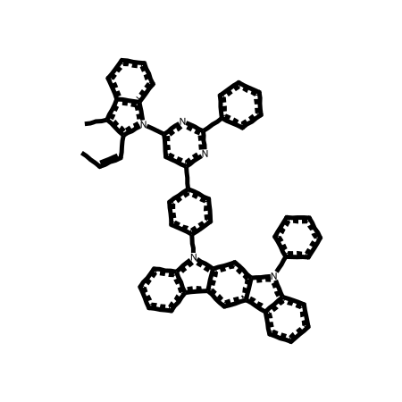 C/C=C\c1c(C)c2ccccc2n1-c1cc(-c2ccc(-n3c4ccccc4c4cc5c6ccccc6n(-c6ccccc6)c5cc43)cc2)nc(-c2ccccc2)n1